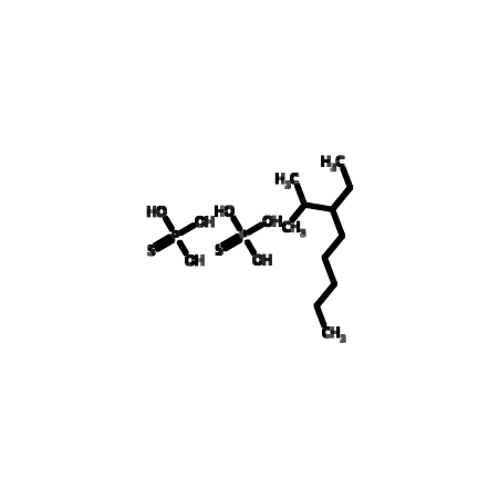 CCCCCC(CC)C(C)C.OP(O)(O)=S.OP(O)(O)=S